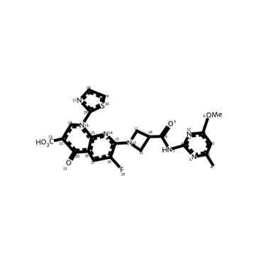 COc1cc(C)nc(NC(=O)C2CN(c3nc4c(cc3F)c(=O)c(C(=O)O)cn4-c3nccs3)C2)n1